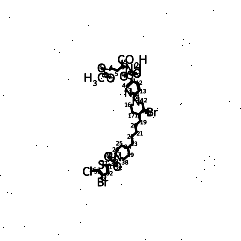 CS(=O)(=O)CCC(NS(=O)(=O)c1ccc(N2CCC(CCCCCC3CCN(S(=O)(=O)c4cc(Br)c(Cl)s4)CC3)C(Br)C2)nc1)C(=O)O